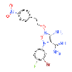 N=C(N)C1=C(N)N(OCCc2ccc([N+](=O)[O-])cc2)ON1c1ccc(F)c(Br)c1